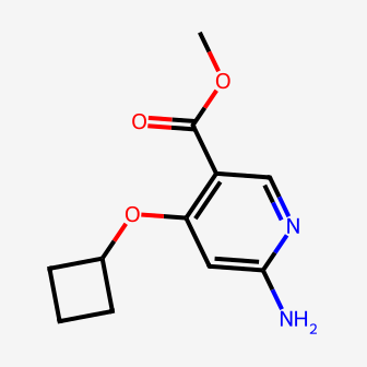 COC(=O)c1cnc(N)cc1OC1CCC1